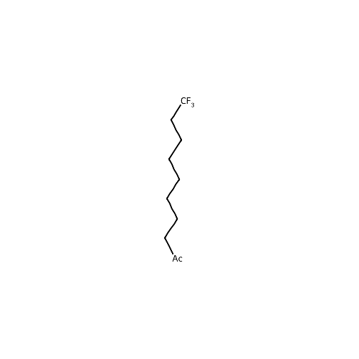 CC(=O)CCCCCCCC(F)(F)F